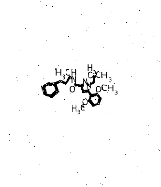 COc1cccc(OC)c1-c1cc(C(=O)N[C@@H](C)CCc2ccccc2)nn1CC(C)C